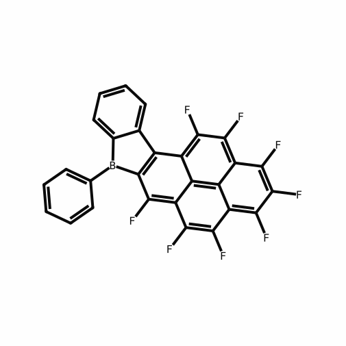 Fc1c(F)c2c(F)c(F)c3c(F)c4c(c5c(F)c(F)c(c1F)c2c35)-c1ccccc1B4c1ccccc1